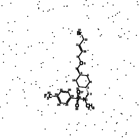 CN(C[C@H]1CC[C@H](COCC=CCBr)CC1)S(=O)(=O)c1ccc(C(F)(F)F)cc1